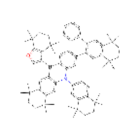 CC1(C)CCC(C)(C)c2cc(N3c4cc(-c5cc6c(cc5-c5ccccc5)C(C)(C)CCC6(C)C)ccc4B(c4coc5c4C(C)(C)CCC5(C)C)c4cc5c(cc43)C(C)(C)CCC5(C)C)ccc21